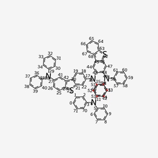 c1ccc(N(c2ccccc2)c2cccc(N(c3ccc4c(c3)sc3ccc(N(c5ccccc5)c5ccccc5)cc34)c3cc4c(cc3N(c3ccccc3)c3ccccc3)sc3ccccc34)c2)cc1